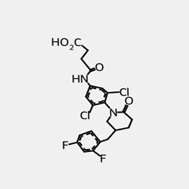 O=C(O)CCC(=O)Nc1cc(Cl)c(N2CC(Cc3ccc(F)cc3F)CCC2=O)c(Cl)c1